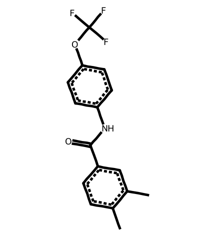 Cc1ccc(C(=O)Nc2ccc(OC(F)(F)F)cc2)cc1C